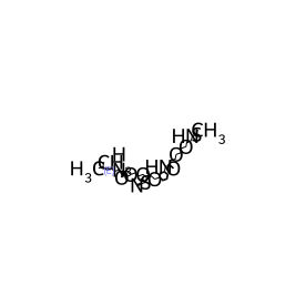 CSNCCOCCOCCC(=O)Nc1cccc(OCC(OCCOCC(=O)NC/C=C/C(C)C)SC#N)c1